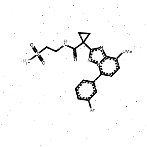 COc1ccc(-c2cccc(C(C)=O)c2)n2nc(C3(C(=O)NCCS(C)(=O)=O)CC3)nc12